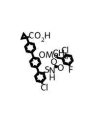 COc1cc(-c2ccc(Cl)cc2SNC(=O)OC(C)c2cc(F)ccc2Cl)ccc1-c1ccc(C2(C(=O)O)CC2)cc1